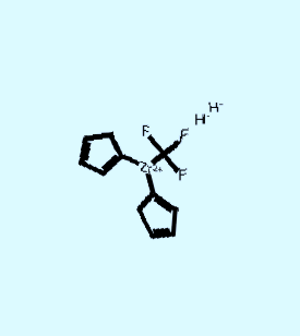 F[C](F)(F)[Zr+2]([C]1=CC=CC1)[C]1=CC=CC1.[H-].[H-]